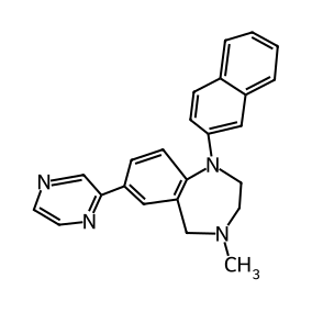 CN1CCN(c2ccc3ccccc3c2)c2ccc(-c3cnccn3)cc2C1